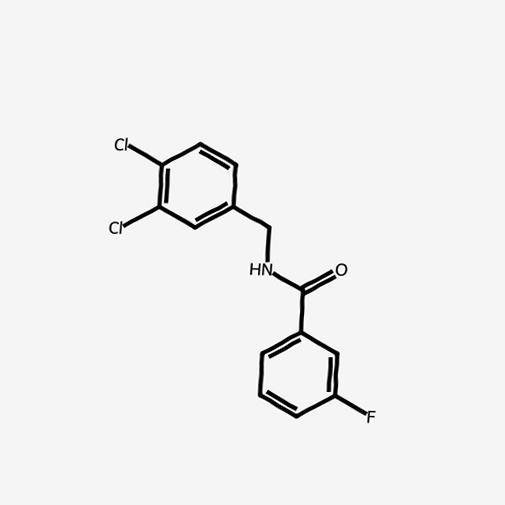 O=C(NCc1ccc(Cl)c(Cl)c1)c1cccc(F)c1